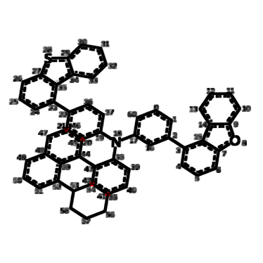 c1cc(-c2cccc3oc4ccccc4c23)cc(N(c2ccc(-c3cccc4sc5ccccc5c34)cc2)c2ccccc2-c2cccc3cccc(C4CCCCC4)c23)c1